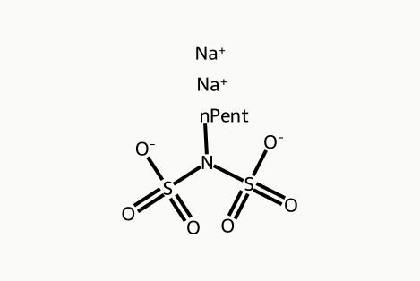 CCCCCN(S(=O)(=O)[O-])S(=O)(=O)[O-].[Na+].[Na+]